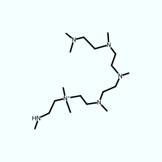 CNCC[N+](C)(C)CCN(C)CCN(C)CCN(C)CCN(C)C